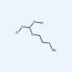 CCOB(OCC)OCCSC(C)(C)C